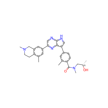 Cc1cc(-c2c[nH]c3ncc(-c4cc(C)c5c(c4)CN(C)CC5)nc23)ccc1C(=O)N(C)C[C@H](C)O